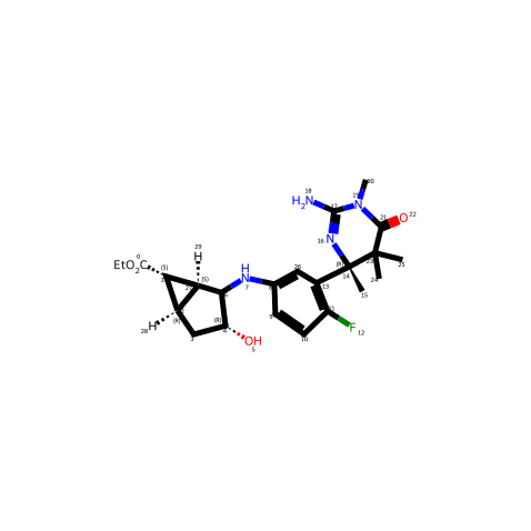 CCOC(=O)[C@H]1[C@@H]2C[C@@H](O)C(Nc3ccc(F)c([C@]4(C)N=C(N)N(C)C(=O)C4(C)C)c3)[C@@H]21